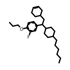 CCCCCCC1CCC(C(CC2CC=CCC2)c2ccc(OCCC)c(F)c2)CC1